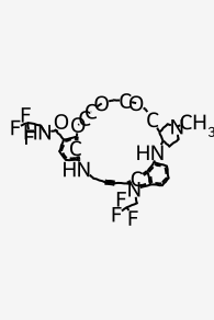 CN1CCC2Nc3cccc4c3cc(n4CC(F)(F)F)C#CCNc3ccc(C(=O)NCC(F)(F)F)c(c3)OCCOCCOCCC2C1